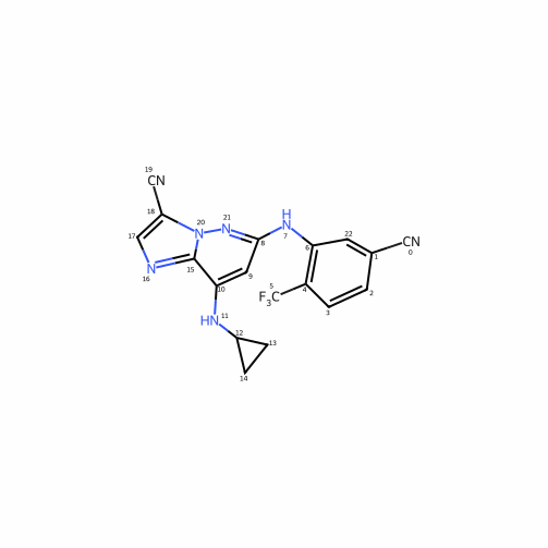 N#Cc1ccc(C(F)(F)F)c(Nc2cc(NC3CC3)c3ncc(C#N)n3n2)c1